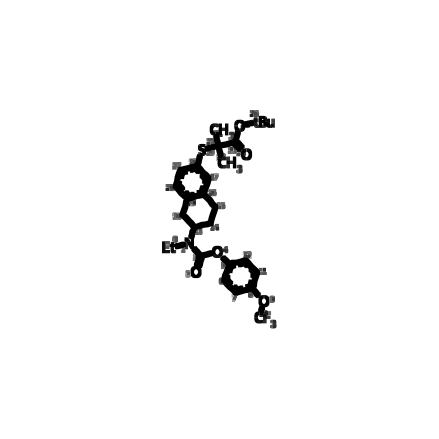 CCN(C(=O)Oc1ccc(OC(F)(F)F)cc1)C1CCc2cc(SC(C)(C)C(=O)OC(C)(C)C)ccc2C1